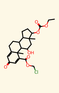 CCOC(=O)OC1CCC2C3CCC4=CC(=O)C=C(C(=O)OCCl)C4(C)C3C(O)CC12C